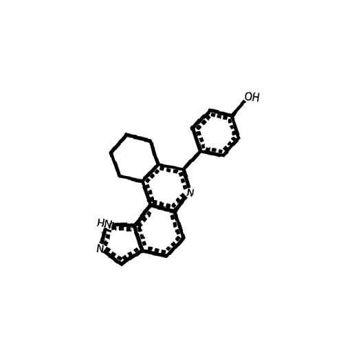 Oc1ccc(-c2nc3ccc4cn[nH]c4c3c3c2CCCC3)cc1